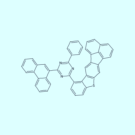 c1ccc(-c2nc(-c3cc4ccccc4c4ccccc34)nc(-c3cccc4sc5cc6c(cc5c34)-c3cccc4cccc-6c34)n2)cc1